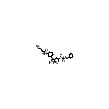 CN(C)CC=CC(=O)Nc1cccc(-c2c[nH]c3ncc(NC(=O)OCc4ccccc4)cc23)c1